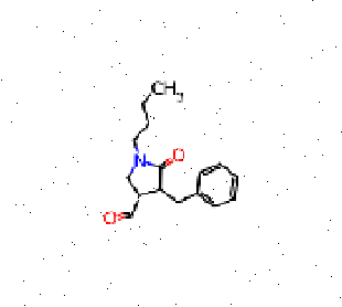 CCCCN1CC(C=O)C(Cc2ccccc2)C1=O